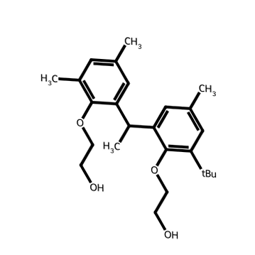 Cc1cc(C)c(OCCO)c(C(C)c2cc(C)cc(C(C)(C)C)c2OCCO)c1